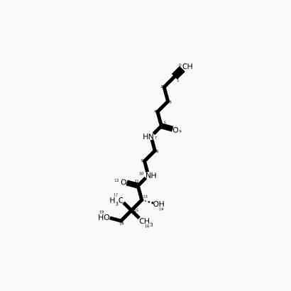 C#CCCCC(=O)NCCNC(=O)[C@H](O)C(C)(C)CO